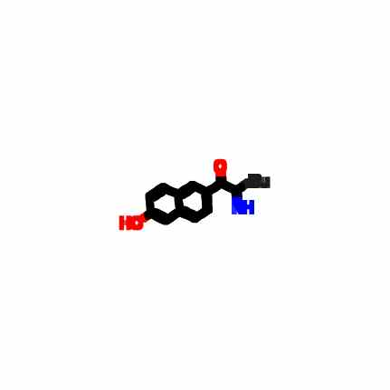 CCC(C)C(=N)C(=O)c1ccc2cc(O)ccc2c1